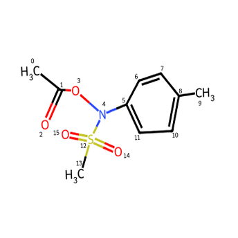 CC(=O)ON(c1ccc(C)cc1)S(C)(=O)=O